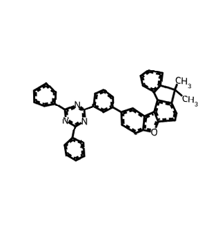 CC1(C)c2ccccc2-c2c1ccc1oc3ccc(-c4cccc(-c5nc(-c6ccccc6)nc(-c6ccccc6)n5)c4)cc3c21